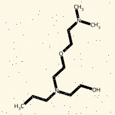 CCCN(CCO)CCOCCN(C)C